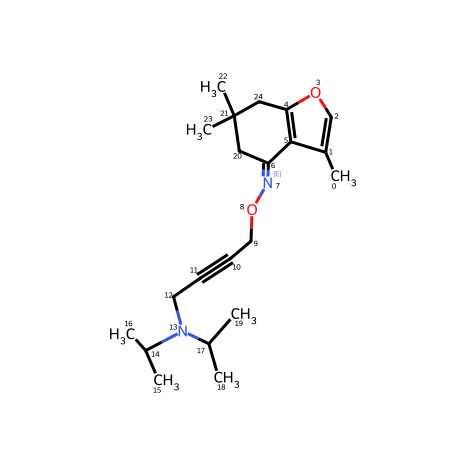 Cc1coc2c1/C(=N/OCC#CCN(C(C)C)C(C)C)CC(C)(C)C2